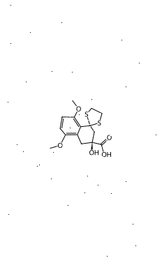 COc1ccc(OC)c2c1C[C@@](O)(C(=O)O)CC21SCCS1